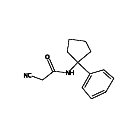 N#CCC(=O)NC1(c2ccccc2)CCCC1